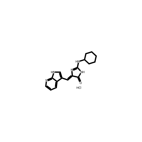 Cl.O=C1NC(NC2CCCCC2)=NC1=Cc1c[nH]c2ncccc12